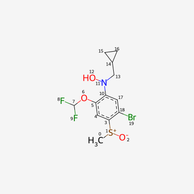 C[S+]([O-])c1cc(OC(F)F)c(N(O)CC2CC2)cc1Br